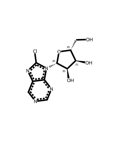 OC[C@H]1O[C@@H](n2c(Cl)nc3cncnc32)[C@H](O)[C@@H]1O